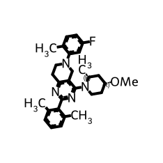 CO[C@@H]1CCN(c2nc(-c3c(C)cccc3C)nc3c2CN(c2cc(F)ccc2C)CC3)[C@H](C)C1